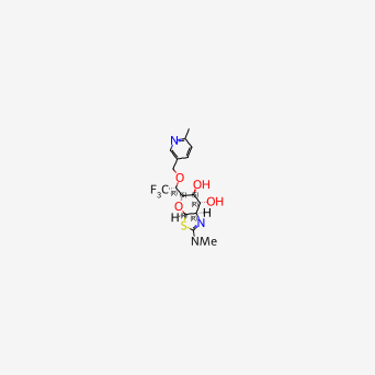 CNC1=N[C@@H]2[C@@H](O)[C@H](O)[C@@H]([C@@H](OCc3ccc(C)nc3)C(F)(F)F)O[C@@H]2S1